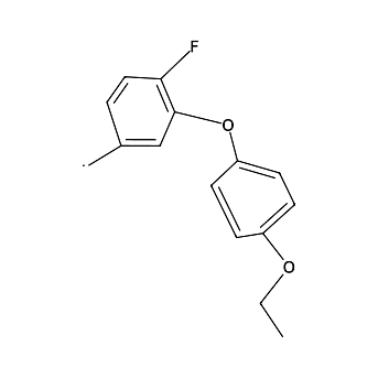 [CH2]c1ccc(F)c(Oc2ccc(OCC)cc2)c1